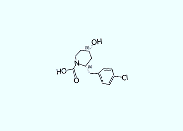 O=C(O)N1CC[C@H](O)C[C@@H]1Cc1ccc(Cl)cc1